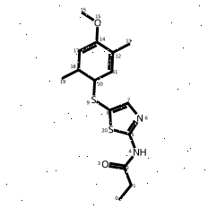 CCC(=O)Nc1ncc(SC2C=C(C)C(OC)=CC2C)s1